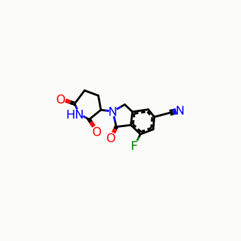 N#Cc1cc(F)c2c(c1)CN(C1CCC(=O)NC1=O)C2=O